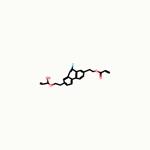 C=CC(=O)OCCc1ccc2c(c1)c(F)cc1cc(CCOC(O)C=C)ccc12